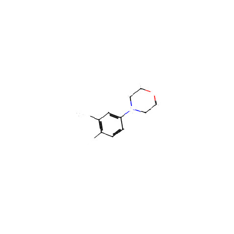 COc1cc(N2CCOCC2)ccc1C(=O)O